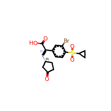 O=C1CC[C@@H](/C=C(/C(=O)O)c2ccc(S(=O)(=O)C3CC3)c(Br)c2)C1